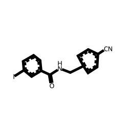 N#Cc1ccc(CNC(=O)c2cccc(I)c2)cc1